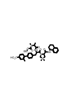 Cc1cc(C(=O)O)ccc1-c1ccc(CC(NC(=O)C(C)N(C)C(=O)OC(C)(C)C)C(=O)N2C[Si](C)(C)CC2C(=O)N[C@@H]2CCCc3ccccc32)cc1